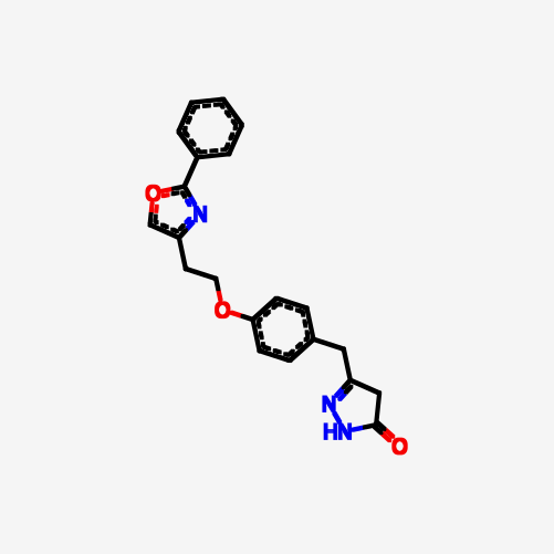 O=C1CC(Cc2ccc(OCCc3coc(-c4ccccc4)n3)cc2)=NN1